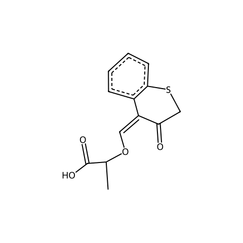 CC(OC=C1C(=O)CSc2ccccc21)C(=O)O